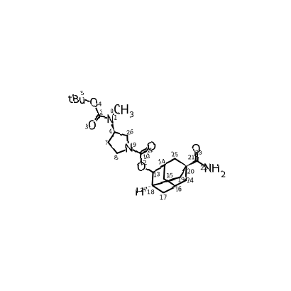 CN(C(=O)OC(C)(C)C)[C@@H]1CCN(C(=O)OC2C3CC4C[C@@H]2C[C@@](C(N)=O)(C4)C3)C1